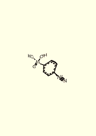 N#[N+]c1ccc([As](=O)(O)O)cc1